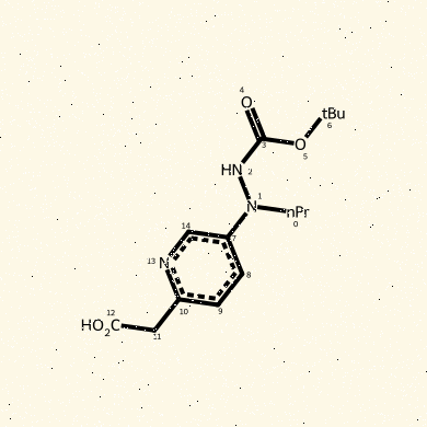 CCCN(NC(=O)OC(C)(C)C)c1ccc(CC(=O)O)nc1